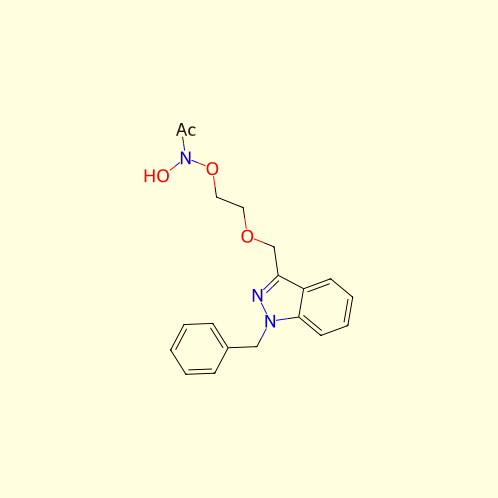 CC(=O)N(O)OCCOCc1nn(Cc2ccccc2)c2ccccc12